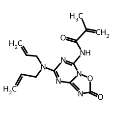 C=CCN(CC=C)c1nc(NC(=O)C(=C)C)n2oc(=O)nc2n1